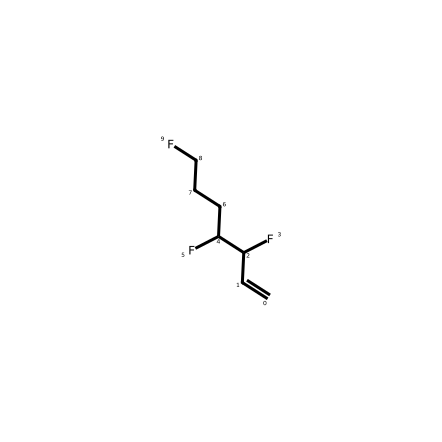 C=CC(F)C(F)CCCF